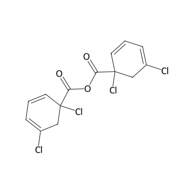 O=C(OC(=O)C1(Cl)C=CC=C(Cl)C1)C1(Cl)C=CC=C(Cl)C1